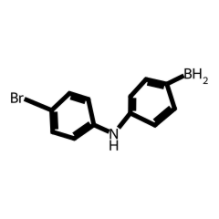 Bc1ccc(Nc2ccc(Br)cc2)cc1